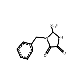 O=C1NC(S(=O)(=O)O)N(Cc2ccccc2)C1=O